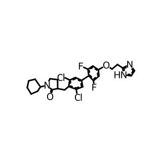 O=C1C(Cc2c(Cl)cc(-c3c(F)cc(OCCc4ncc[nH]4)cc3F)cc2Cl)CCN1C1CCCCC1